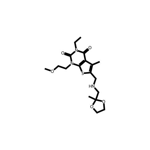 CCn1c(=O)c2c(C)c(CNCC3(C)OCCO3)sc2n(CCOC)c1=O